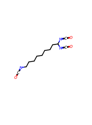 O=C=NCCCCCCCCC(N=C=O)N=C=O